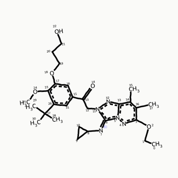 CCOc1nn2/c(=N/C3CC3)n(CC(=O)c3cc(OCCCO)c(OC)c(C(C)(C)C)c3)nc2c(C)c1C